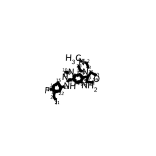 CN1CCN(C2(c3cc4ncnc(Nc5ccc(F)c(CI)c5)c4cc3N)CCOCC2)CC1